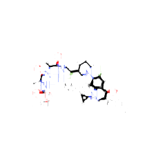 COc1c(N2CCCC(=C(F)CNC(=O)C(C)NC(=O)[C@H](C)NC(=O)OC(C)(C)C)C2)c(F)cc2c(=O)c(C(=O)O)cn(C3CC3)c12